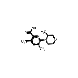 CC1COCCN1c1nc(C(=O)N=O)c([N+](=O)[O-])cc1C(F)(F)F